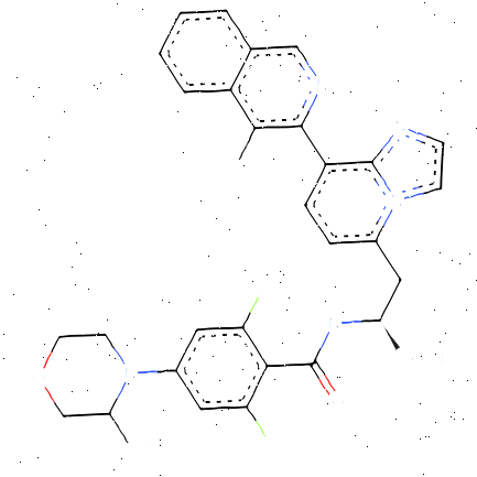 O=C(N[C@@H](Cc1ccc(-c2ncc3ccccc3c2C(F)(F)F)c2nccn12)C(=O)O)c1c(F)cc(N2CCOCC2C(F)(F)F)cc1F